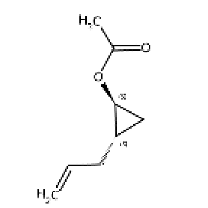 C=CC[C@H]1C[C@@H]1OC(C)=O